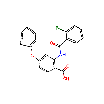 O=C(Nc1cc(Oc2ccccc2)ccc1C(=O)O)c1ccccc1F